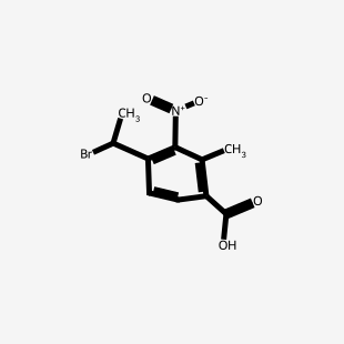 Cc1c(C(=O)O)ccc(C(C)Br)c1[N+](=O)[O-]